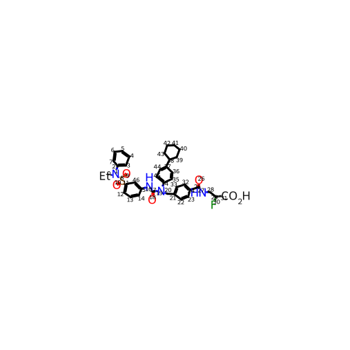 CCN(c1ccccc1)S(=O)(=O)c1cccc(NC(=O)N(Cc2ccc(C(=O)NCC(F)C(=O)O)cc2)c2ccc(C3CCCCC3)cc2)c1